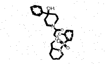 O=C(COCC1CCCCN1S(=O)(=O)c1ccccc1C(F)(F)F)N1CCC(O)(c2ccccc2)CC1